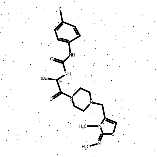 CN=c1scc(CN2CCN(C(=O)[C@H](NC(=O)Nc3ccc(Cl)cc3)C(C)(C)C)CC2)n1C